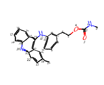 CNC(=O)OCCc1cccc(Nc2c3ccccc3nc3ccc(C)cc23)c1